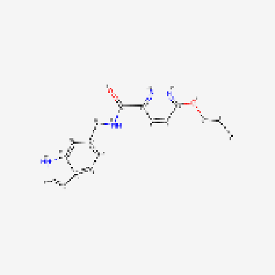 CCCOc1ccc(C(=O)NCc2ccc3cc[nH]c3c2)nn1